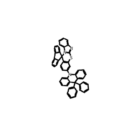 c1ccc(C2(c3ccccc3)c3ccccc3N(c3ccc4c(c3)Sc3nc5ccccc5n3C43c4ccccc4-c4ccccc43)c3ccccc32)cc1